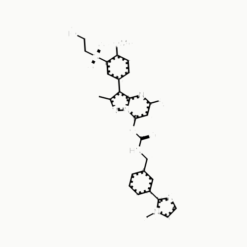 COc1ccc(-c2c(C)nn3c(OC(=O)NCc4cccc(-c5nccn5C)c4)cc(Cl)nc23)cc1S(=O)(=O)CCO